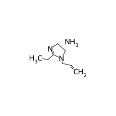 C=CCN1CCN=C1CC.N